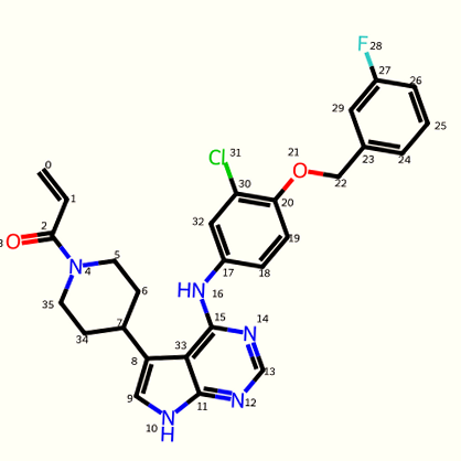 C=CC(=O)N1CCC(c2c[nH]c3ncnc(Nc4ccc(OCc5cccc(F)c5)c(Cl)c4)c23)CC1